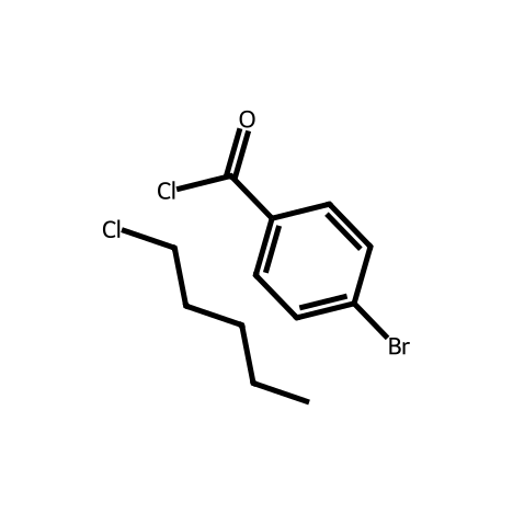 CCCCCCl.O=C(Cl)c1ccc(Br)cc1